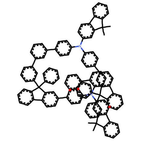 CC1(C)c2ccccc2-c2ccc(N(c3ccc(-c4cccc(-c5cccc(C6(c7ccccc7)c7ccccc7-c7ccc(-c8ccc(N(c9ccc%10c(c9)C(C)(C)c9ccccc9-%10)c9ccccc9-c9ccccc9)cc8)cc76)c5)c4)cc3)c3ccc(-c4ccc5c(c4)C(c4ccccc4)(c4ccccc4)c4ccccc4-5)cc3)cc21